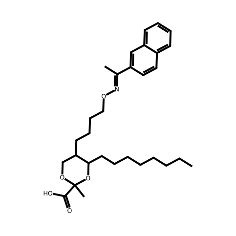 CCCCCCCCC1OC(C)(C(=O)O)OCC1CCCCON=C(C)c1ccc2ccccc2c1